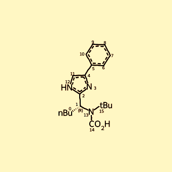 CCCC[C@H](c1nc(-c2ccccc2)c[nH]1)N(C(=O)O)C(C)(C)C